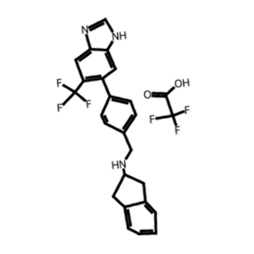 FC(F)(F)c1cc2nc[nH]c2cc1-c1ccc(CNC2Cc3ccccc3C2)cc1.O=C(O)C(F)(F)F